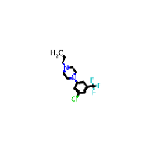 C=CCN1CCN(c2cc(Cl)cc(C(F)(F)F)c2)CC1